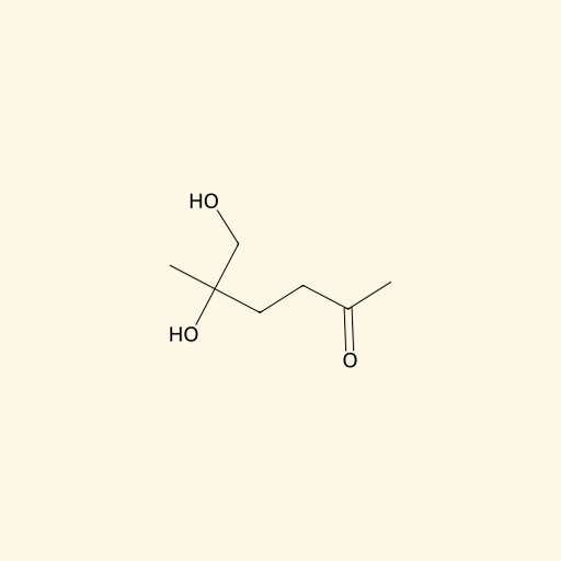 CC(=O)CCC(C)(O)CO